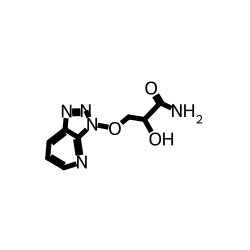 NC(=O)C(O)COn1nnc2cccnc21